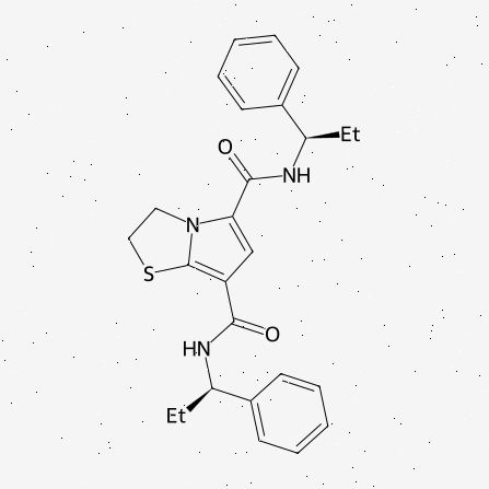 CC[C@@H](NC(=O)c1cc(C(=O)N[C@H](CC)c2ccccc2)n2c1SCC2)c1ccccc1